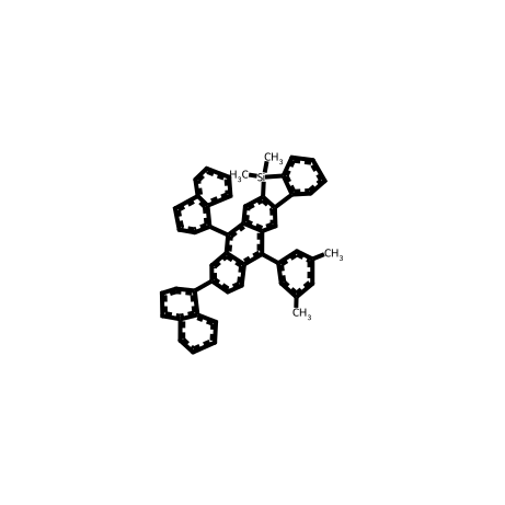 Cc1cc(C)cc(-c2c3ccc(-c4cccc5ccccc45)cc3c(-c3cccc4ccccc34)c3cc4c(cc23)-c2ccccc2[Si]4(C)C)c1